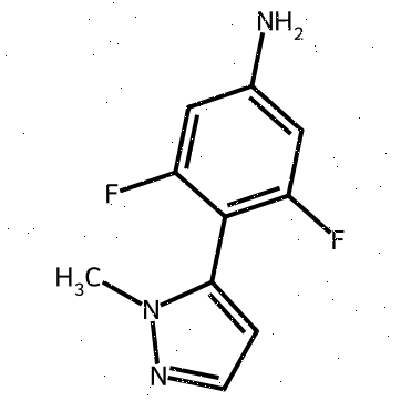 Cn1nccc1-c1c(F)cc(N)cc1F